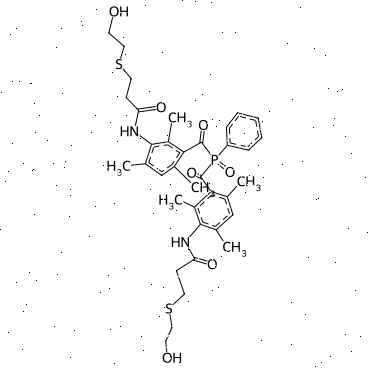 Cc1cc(C)c(C(=O)P(=O)(C(=O)c2c(C)cc(C)c(NC(=O)CCSCCO)c2C)c2ccccc2)c(C)c1NC(=O)CCSCCO